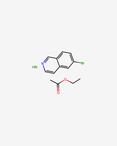 Br.Brc1ccc2cnccc2c1.CCOC(C)=O